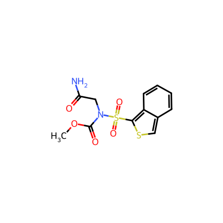 COC(=O)N(CC(N)=O)S(=O)(=O)c1scc2ccccc12